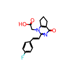 O=C(O)Cn1c(C=Cc2ccc(F)cc2)nc(=O)c2c1CCC2